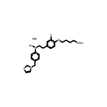 Br.CCCCCCCCCCCCCCOc1ccc(CCN(C(C)=O)c2ccc(CN3C=CSC3)cc2)cc1F